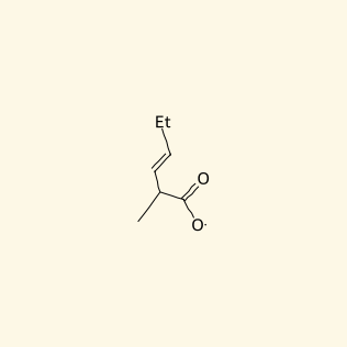 CCC=CC(C)C([O])=O